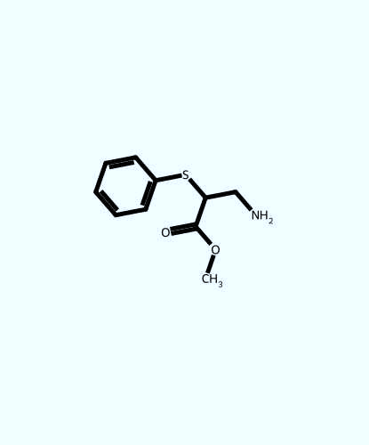 COC(=O)C(CN)Sc1ccccc1